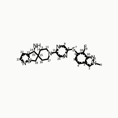 Cn1cc2ccc(Sc3cnc(N4CCC5(CC4)Cn4nccc4[C@H]5N)cn3)c(F)c2n1